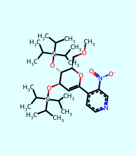 COC[C@H]1OC(c2ccncc2[N+](=O)[O-])=C[C@@H](O[Si](C(C)C)(C(C)C)C(C)C)[C@@H]1O[Si](C(C)C)(C(C)C)C(C)C